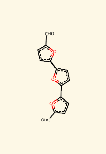 O=Cc1ccc(-c2ccc(-c3ccc(C=O)o3)o2)o1